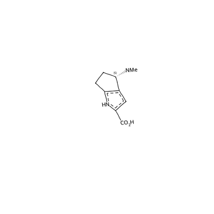 CN[C@H]1CCc2[nH]c(C(=O)O)cc21